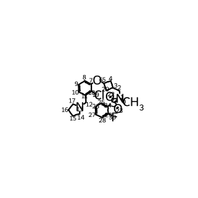 CN(CC1CC(Oc2cccc(CN3CCCC3)c2Cl)C1)S(=O)(=O)c1ccccc1F